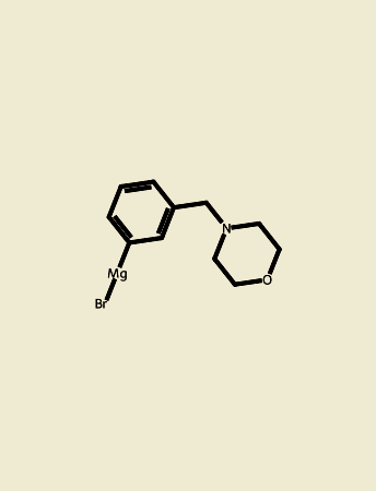 [Br][Mg][c]1cccc(CN2CCOCC2)c1